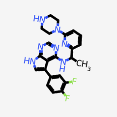 CC(Nc1ncnc2[nH]cc(-c3ccc(F)c(F)c3)c12)c1cccc(N2CCNCC2)n1